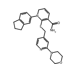 NC(=O)C1=C(SCc2ccnc(N3CCOCC3)c2)N(c2ccc3c(c2)CCC3)CC=C1